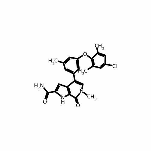 Cc1cc(Oc2c(C)cc(Cl)cc2C)cc(-c2cn(C)c(=O)c3[nH]c(C(N)=O)cc23)c1